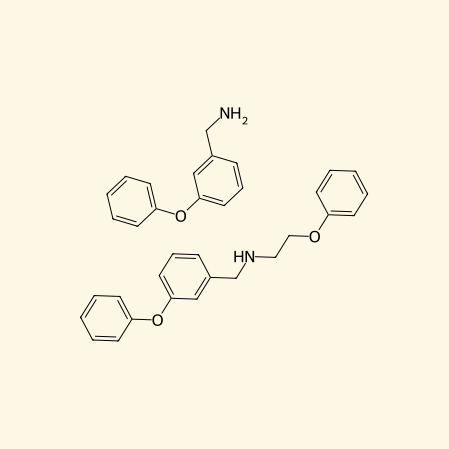 NCc1cccc(Oc2ccccc2)c1.c1ccc(OCCNCc2cccc(Oc3ccccc3)c2)cc1